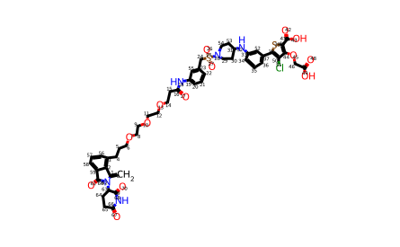 C=C1c2c(CCCOCCOCCOCCC(=O)Nc3cccc(CS(=O)(=O)N4CCC(Nc5cccc(-c6sc(C(=O)O)c(OCC(=O)O)c6Cl)c5)CC4)c3)cccc2C(=O)N1C1CCC(=O)NC1=O